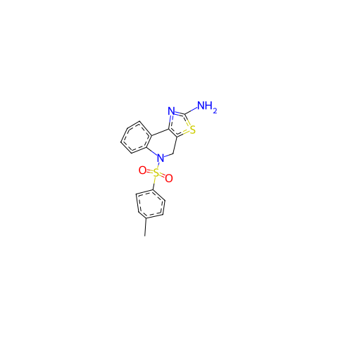 Cc1ccc(S(=O)(=O)N2Cc3sc(N)nc3-c3ccccc32)cc1